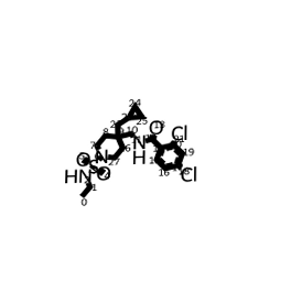 CCNS(=O)(=O)N1CCC(CNC(=O)c2ccc(Cl)cc2Cl)(CC2CC2)CC1